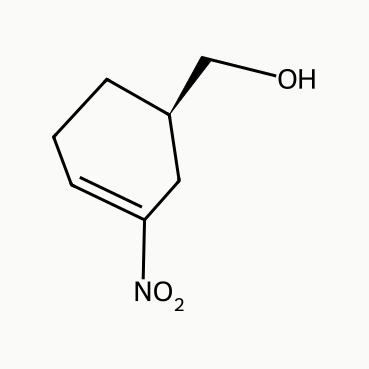 O=[N+]([O-])C1=CCC[C@@H](CO)C1